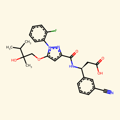 CC(C)C(C)(O)COc1cc(C(=O)N[C@@H](CC(=O)O)c2cccc(C#N)c2)nn1-c1ccccc1F